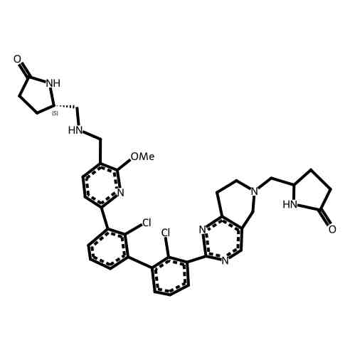 COc1nc(-c2cccc(-c3cccc(-c4ncc5c(n4)CCN(CC4CCC(=O)N4)C5)c3Cl)c2Cl)ccc1CNC[C@@H]1CCC(=O)N1